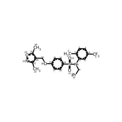 Cc1ccc(C(F)(F)F)cc1N(CC(C)C)S(=O)(=O)c1ccc(OCc2c(C)noc2C)cc1